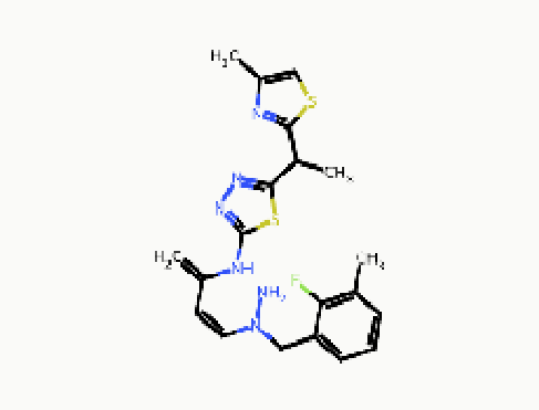 C=C(/C=C\N(N)Cc1cccc(C)c1F)Nc1nnc(C(C)c2nc(C)cs2)s1